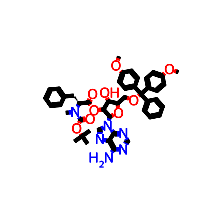 COc1ccc(C(OCC2OC(n3cnc4c(N)ncnc43)C(OC(=O)[C@@H](Cc3ccccc3)N(C)C(=O)OC(C)(C)C)C2O)(c2ccccc2)c2ccc(OC)cc2)cc1